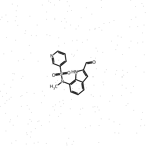 CN(c1cccc2cc(C=O)[nH]c12)S(=O)(=O)c1cccnc1